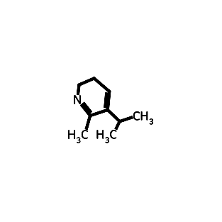 CC1=NCCC=C1C(C)C